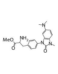 COC(=O)C(N)Cc1ccc(-n2c(=O)n(C)c3ccc(N(C)C)cc32)cc1